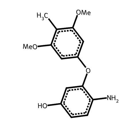 COc1cc(Oc2cc(O)ccc2N)cc(OC)c1C